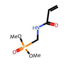 C=CC(=O)NCP(=O)(OC)OC